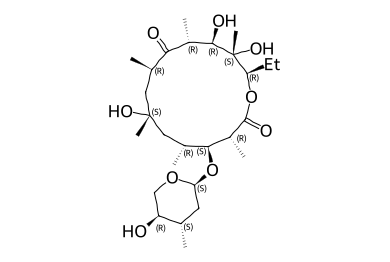 CC[C@H]1OC(=O)[C@H](C)[C@@H](O[C@H]2C[C@H](C)[C@@H](O)CO2)[C@H](C)C[C@](C)(O)C[C@@H](C)C(=O)[C@H](C)[C@@H](O)[C@]1(C)O